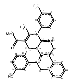 COC(=O)C1=C(C)N(c2cccc(C(F)(F)F)c2)C(=N)N(C(N)=O)[C@@H]1c1ccc(C#N)cc1CC[n+]1ccccc1CCO